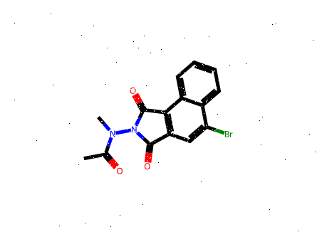 CC(=O)N(C)N1C(=O)c2cc(Br)c3ccccc3c2C1=O